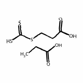 CCC(=O)O.O=C(O)CCSC(=S)S